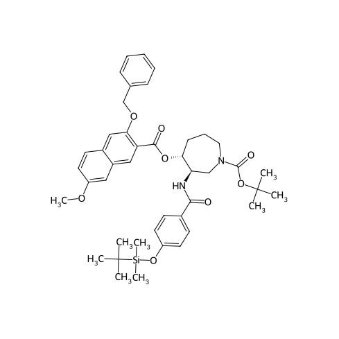 COc1ccc2cc(OCc3ccccc3)c(C(=O)O[C@@H]3CCCN(C(=O)OC(C)(C)C)C[C@H]3NC(=O)c3ccc(O[Si](C)(C)C(C)(C)C)cc3)cc2c1